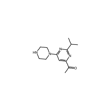 CC(=O)c1cc(N2CCNCC2)nc(C(C)C)n1